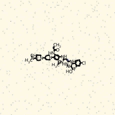 C=CC(=O)Nc1cc(NC(=N)/C=C(\NN)N[C@H](CCO)c2ccc(Cl)cc2F)c(OC)cc1N1CCC(N2CCC(N(C)C)CC2)CC1